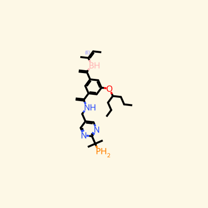 C=C(B/C(C)=C\C)c1cc(OC(CCC)CCC)cc(C(=C)NCc2cnc(C(C)(C)P)nc2)c1